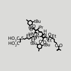 C=C(C)C(=O)OCCCC(CC)(CC)C(=O)N(C)c1[nH]c(/C=C2\N=C(NC(=O)C(CC)(CC)CCCSC(CC(=O)O)C(=O)O)C(C(=O)OC3C(C(C)(C)C)CC(C)CC3C(C)(C)C)=C2C(C)C)c(C(C)C)c1C(=O)OC1C(C(C)(C)C)CC(C)CC1C(C)(C)C